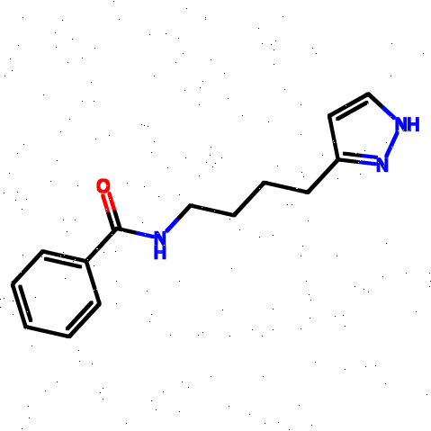 O=C(NCCCCc1cc[nH]n1)c1ccccc1